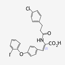 O=C(CCc1ccc(Cl)cc1)N/C(=C\c1ccc(Oc2ccccc2I)cc1)C(=O)O